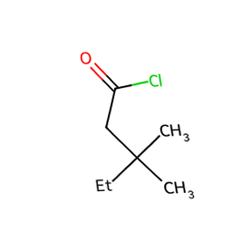 CCC(C)(C)CC(=O)Cl